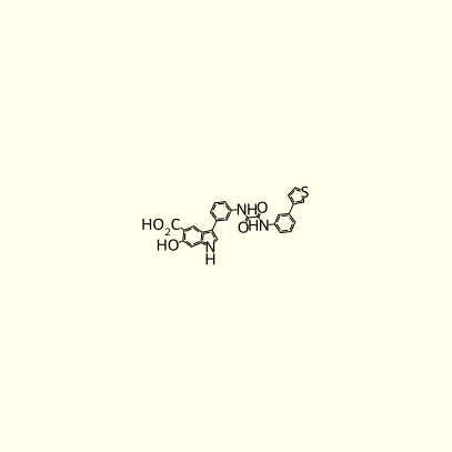 O=C(Nc1cccc(-c2ccsc2)c1)C(=O)Nc1cccc(-c2c[nH]c3cc(O)c(C(=O)O)cc23)c1